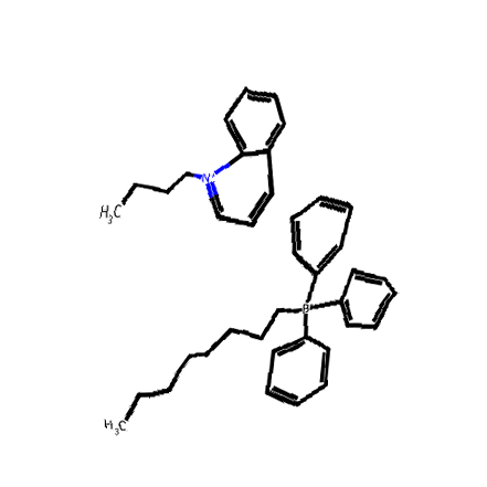 CCCCCCCC[B-](c1ccccc1)(c1ccccc1)c1ccccc1.CCCC[n+]1cccc2ccccc21